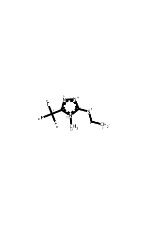 [CH2]CSc1nnc(C(F)(F)F)n1C